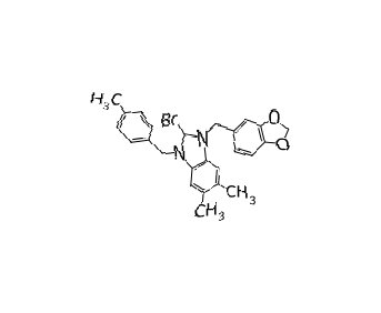 Cc1ccc(CN2c3cc(C)c(C)cc3N(Cc3ccc4c(c3)OCO4)C2Br)cc1